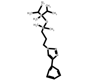 CC(C)[Si](C)(O[Si](C)(C)CCCn1cc(-c2ccccc2)nn1)C(C)C